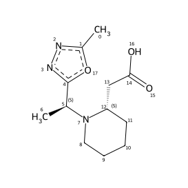 Cc1nnc([C@H](C)N2CCCC[C@H]2CC(=O)O)o1